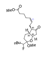 CCCCC(F)C1(OC)CC[C@H]2[C@@H](CC(=O)[C@@H]2C/C=C\CCCC(=O)OC)O1